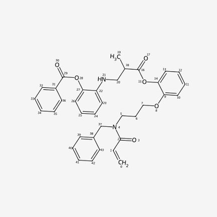 C=CC(=O)N(CCCOc1ccccc1OC(=O)C(C)CNc1ccccc1OC(=O)c1ccccc1)Cc1ccccc1